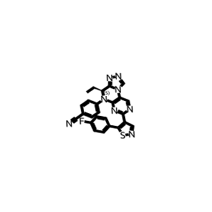 CC[C@H]1c2nncn2-c2cnc(-c3cnsc3-c3ccc(F)cc3)nc2N1c1ccc(C#N)cc1